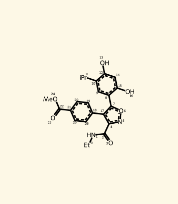 CCNC(=O)c1noc(-c2cc(C(C)C)c(O)cc2O)c1-c1ccc(C(=O)OC)cc1